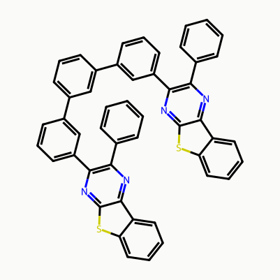 c1ccc(-c2nc3c(nc2-c2cccc(-c4cccc(-c5cccc(-c6nc7sc8ccccc8c7nc6-c6ccccc6)c5)c4)c2)sc2ccccc23)cc1